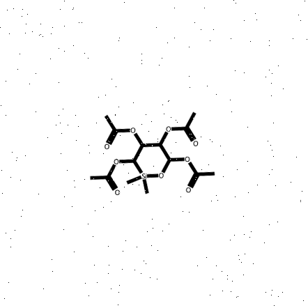 CC(=O)OC1O[Si](C)(C)C(OC(C)=O)C(OC(C)=O)C1OC(C)=O